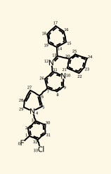 Fc1cc(N2C=C(c3ccnc(N=C(c4ccccc4)c4ccccc4)c3)C=CC2)ccc1Cl